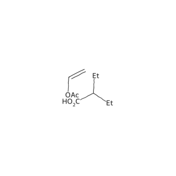 C=COC(C)=O.CCC(CC)C(=O)O